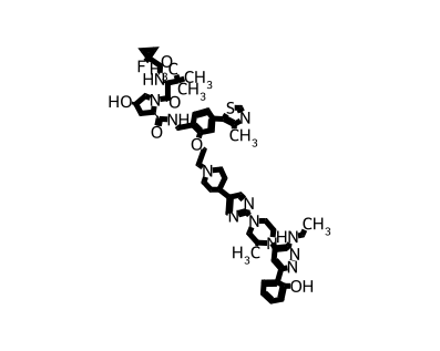 CCNc1nnc(-c2ccccc2O)cc1N1CCN(c2ncc(C3CCN(CCOc4cc(-c5scnc5C)ccc4CNC(=O)[C@@H]4C[C@@H](O)CN4C(=O)[C@@H](NC(=O)C4(F)CC4)C(C)(C)C)CC3)cn2)C[C@@H]1C